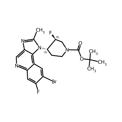 Cc1nc2cnc3cc(F)c(Br)cc3c2n1[C@H]1CCN(C(=O)OC(C)(C)C)C[C@@H]1F